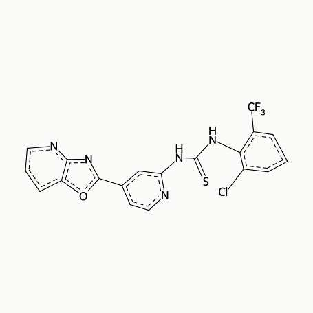 FC(F)(F)c1cccc(Cl)c1NC(=S)Nc1cc(-c2nc3ncccc3o2)ccn1